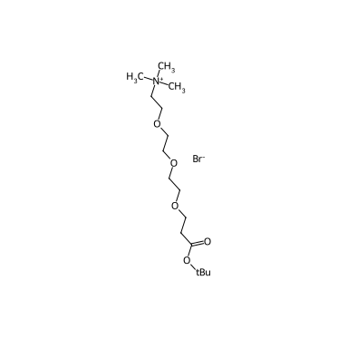 CC(C)(C)OC(=O)CCOCCOCCOCC[N+](C)(C)C.[Br-]